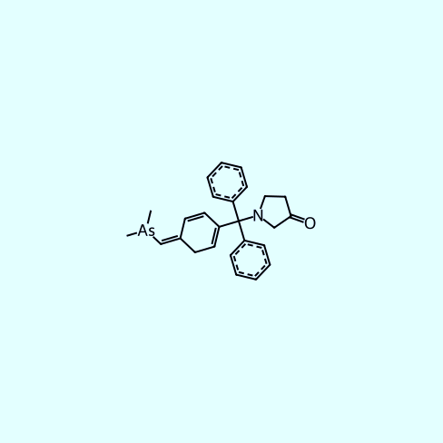 C[As](C)C=C1C=CC(C(c2ccccc2)(c2ccccc2)N2CCC(=O)C2)=CC1